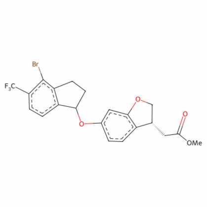 COC(=O)C[C@H]1COc2cc(OC3CCc4c3ccc(C(F)(F)F)c4Br)ccc21